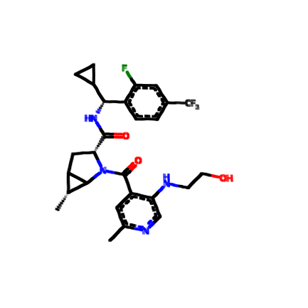 Cc1cc(C(=O)N2C3C(C[C@@H]2C(=O)N[C@@H](c2ccc(C(F)(F)F)cc2F)C2CC2)[C@H]3C)c(NCCO)cn1